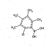 Cc1c(C)c(C)c(B(O)O)c(Cl)c1C